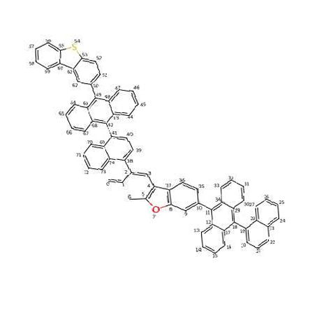 C=C/C(=C\c1c(C)oc2cc(-c3c4ccccc4c(-c4cccc5ccccc45)c4ccccc34)ccc12)c1ccc(-c2c3ccccc3c(-c3ccc4sc5ccccc5c4c3)c3ccccc23)c2ccccc12